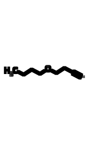 [C]#CCCOCCCC